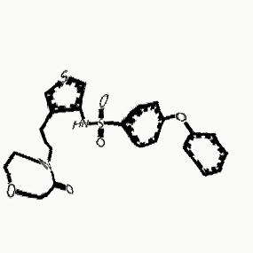 O=C1COCCN1CCc1cscc1NS(=O)(=O)c1ccc(Oc2ccccc2)cc1